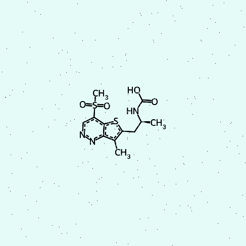 Cc1c(C[C@H](C)NC(=O)O)sc2c(S(C)(=O)=O)cnnc12